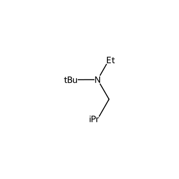 CCN(CC(C)C)C(C)(C)C